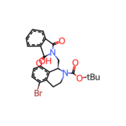 CC(C)(C)OC(=O)N1CCc2c(Br)ccc(O)c2[C@H]1CN1C(=O)c2ccccc2C1=O